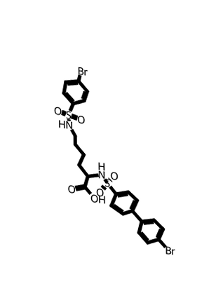 O=C(O)C(CCCCNS(=O)(=O)c1ccc(Br)cc1)NS(=O)(=O)c1ccc(-c2ccc(Br)cc2)cc1